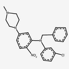 CN1CCN(c2ccc([N+](=O)[O-])c(N(Cc3ccccc3)c3cccc(Cl)c3)c2)CC1